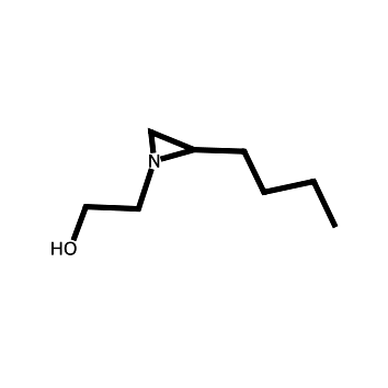 CCCCC1CN1CCO